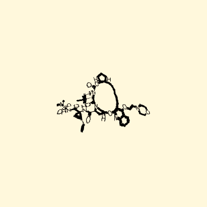 C=C[C@@H]1C[C@]1(NC(=O)[C@@H]1C[C@@H]2CN1C(=O)[C@H](C(C)(C)C)NC(=O)O[C@@H]1CCC[C@H]1CCCCCc1c(nc3ccccc3c1OCCN1CCOCC1)O2)C(=O)NS(=O)(=O)N(C)C